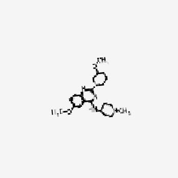 COc1ccc2nc(N3CCCC(OC)C3)nc(NC3CCN(C)CC3)c2c1